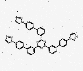 c1cc(-c2ccc(-n3ccnn3)cc2)cc(-c2nc(-c3cccc(-c4ccc(-n5ccnn5)cc4)c3)nc(-c3cccc(-c4ccc(-n5ccnn5)cc4)c3)n2)c1